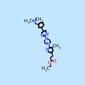 CCOC(=O)CCc1cnc(N2CCN(c3ncc(-c4cccc(CN(C)C)c4)cn3)CC2)c(C)c1